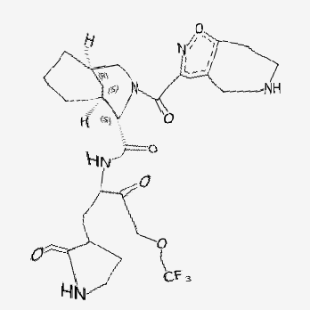 O=C1NCCC1CC(NC(=O)[C@@H]1[C@H]2CCC[C@H]2CN1C(=O)c1noc2c1CNCC2)C(=O)COC(F)(F)F